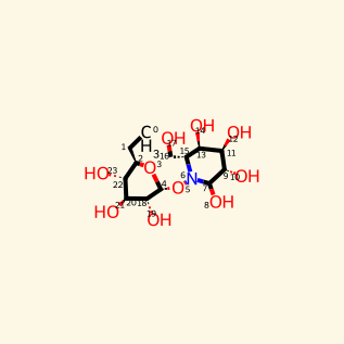 CC[C@H]1O[C@H](ON2C(O)[C@@H](O)[C@H](O)[C@H](O)[C@H]2CO)[C@H](O)[C@@H](O)[C@@H]1O